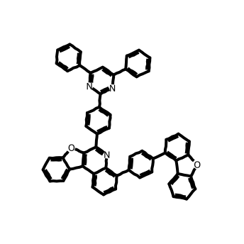 c1ccc(-c2cc(-c3ccccc3)nc(-c3ccc(-c4nc5c(-c6ccc(-c7cccc8oc9ccccc9c78)cc6)cccc5c5c4oc4ccccc45)cc3)n2)cc1